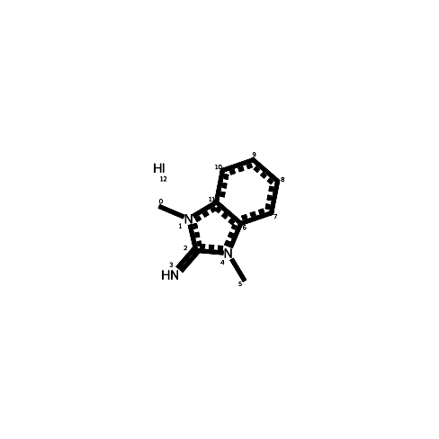 Cn1c(=N)n(C)c2ccccc21.I